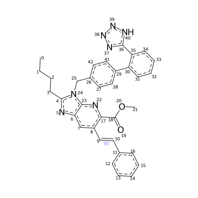 CCCCc1nc2cc(/C=C/c3ccccc3)c(C(=O)OC)nc2n1Cc1ccc(-c2ccccc2-c2nnn[nH]2)cc1